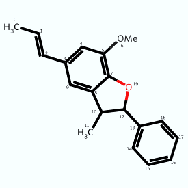 CC=Cc1cc(OC)c2c(c1)C(C)C(c1ccccc1)O2